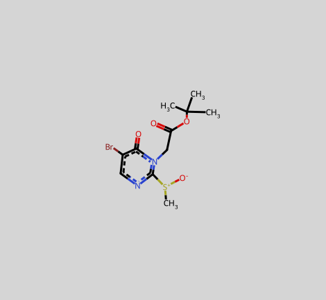 C[S+]([O-])c1ncc(Br)c(=O)n1CC(=O)OC(C)(C)C